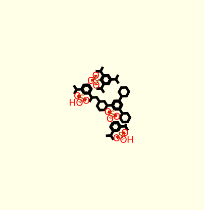 CC(C)c1cc(C(C)C)c(S(=O)(=O)Oc2cc(C(C)C)c(S(=O)(=O)O)c(C(C)CC3CCCC(c4cc(C5CCCCC5)cc(C5CCCCC5)c4S(=O)(=O)Oc4cc(C(C)C)c(S(=O)(=O)O)c(C(C)C)c4)C3)c2)c(C(C)C)c1